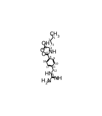 CCCC[C@H](NC(=O)c1ccc(CNC(=N)N)cc1)C(=O)O